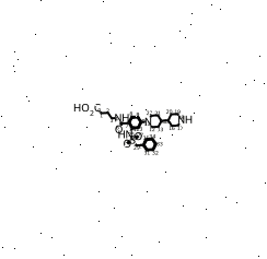 O=C(O)CCCNC(=O)c1ccc(N2CCC(C3CCNCC3)CC2)cc1NS(=O)(=O)Cc1ccccc1